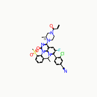 C=CC(=O)N1CCN(c2nc(=O)n(-c3c(C(C)C)cccc3S(C)(=O)=O)c3nc(-c4ccc(C#N)cc4Cl)c(F)cc23)[C@@H](C)C1